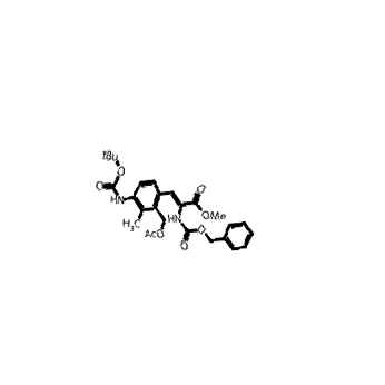 COC(=O)C(=Cc1ccc(NC(=O)OC(C)(C)C)c(C)c1COC(C)=O)NC(=O)OCc1ccccc1